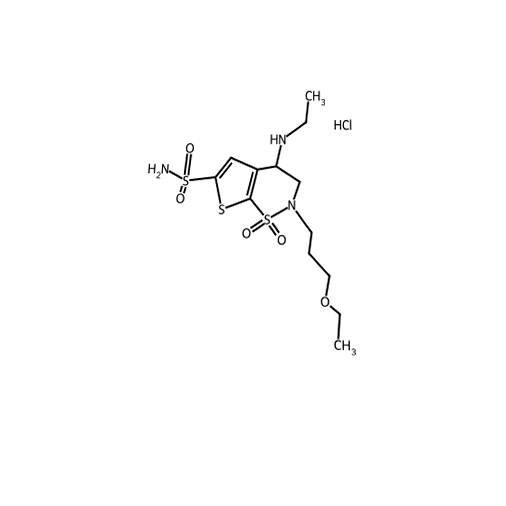 CCNC1CN(CCCOCC)S(=O)(=O)c2sc(S(N)(=O)=O)cc21.Cl